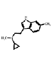 Cc1ccc2c(CCN(C)C3CC3)c[nH]c2c1